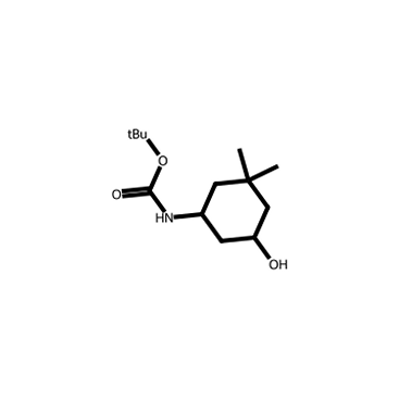 CC1(C)CC(O)CC(NC(=O)OC(C)(C)C)C1